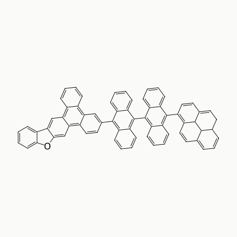 C1=CC2CC=C3C=CC(c4c5ccccc5c(-c5c6ccccc6c(-c6ccc7c(c6)c6ccccc6c6cc8c(cc76)oc6ccccc68)c6ccccc56)c5ccccc45)=C4C=CC(=C1)C2C34